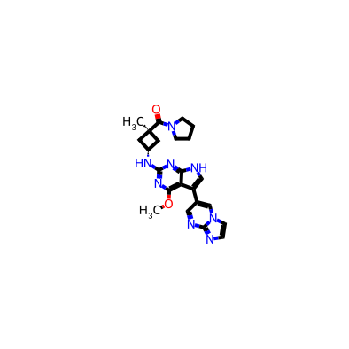 COc1nc(N[C@H]2C[C@](C)(C(=O)N3CCCC3)C2)nc2[nH]cc(-c3cnc4nccn4c3)c12